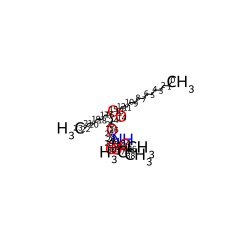 CCCCCCCCCCCCCC(=O)O[C@H](CCCCCCC)CCOC[C@H](CO)NC(=O)OC(C)(C)C